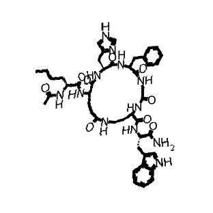 CCCC[C@H](NC(C)=O)C(=O)NC1CCC(=O)NCCC(C(=O)N[C@@H](Cc2c[nH]c3ccccc23)C(N)=O)NC(=O)CNC(=O)C(Cc2ccccc2)NC(=O)[C@H](Cc2c[nH]cn2)NC1=O